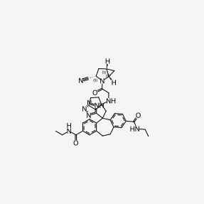 CCNC(=O)c1ccc2c(c1)CCc1cc(C(=O)NCC)ccc1C2(CC1(NCC(=O)N2[C@H](C#N)C[C@@H]3C[C@@H]32)CCCC1)c1nnn[nH]1